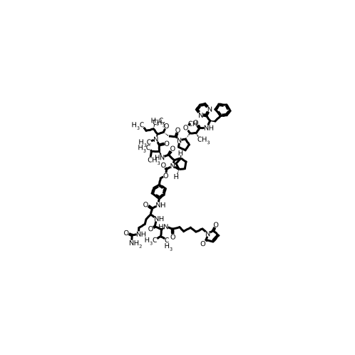 CC[C@H](C)[C@@H]([C@@H](CC(=O)N1CCC[C@H]1C(OC)[C@@H](C)C(=O)N[C@H](Cc1ccccc1)c1ncccn1)OC)N(C)C(=O)[C@@H](NC(=O)C1[C@H]2CC[C@H](C2)N1C(=O)OCc1ccc(NC(=O)C(CCCNC(N)=O)NC(=O)[C@@H](NC(=O)CCCCCN2C(=O)C=CC2=O)C(C)C)cc1)C(C)C